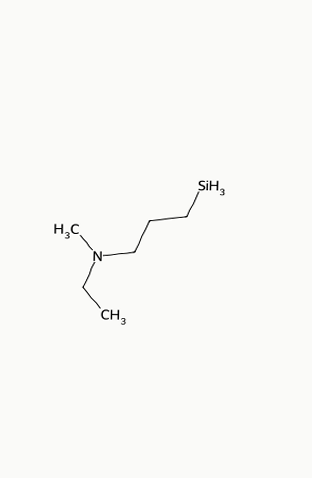 CCN(C)CCC[SiH3]